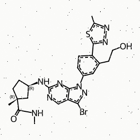 CNC(=O)[C@]1(C)CC[C@@H](Nc2ncc3c(Br)nn(-c4ccc(-c5nnc(C)s5)c(CCO)c4)c3n2)C1